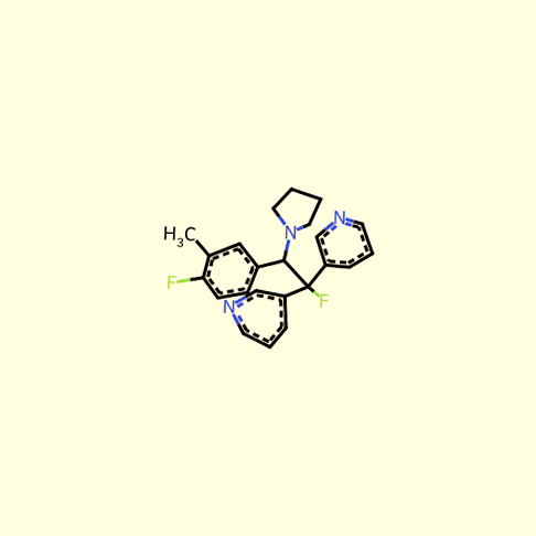 Cc1cc(C(N2CCCC2)C(F)(c2cccnc2)c2cccnc2)ccc1F